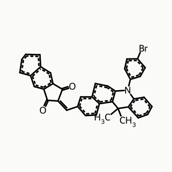 CC1(C)c2ccccc2N(c2ccc(Br)cc2)c2ccc3cc(C=C4C(=O)c5cc6ccccc6cc5C4=O)ccc3c21